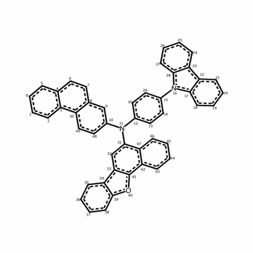 c1ccc2c(c1)ccc1cc(N(c3ccc(-n4c5ccccc5c5ccccc54)cc3)c3cc4c5ccccc5oc4c4ccccc34)ccc12